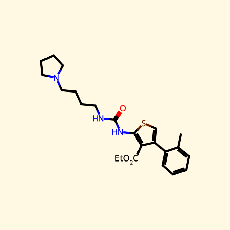 CCOC(=O)c1c(-c2ccccc2C)csc1NC(=O)NCCCCN1CCCC1